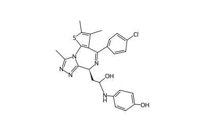 Cc1sc2c(c1C)C(c1ccc(Cl)cc1)=N[C@@H](CC(O)Nc1ccc(O)cc1)c1nnc(C)n1-2